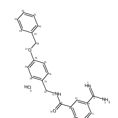 Cl.N=C(N)c1cccc(C(=O)NCc2ccc(OCc3ccccc3)cc2)c1